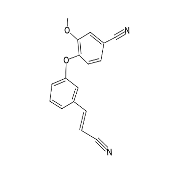 COc1cc(C#N)ccc1Oc1cccc(C=CC#N)c1